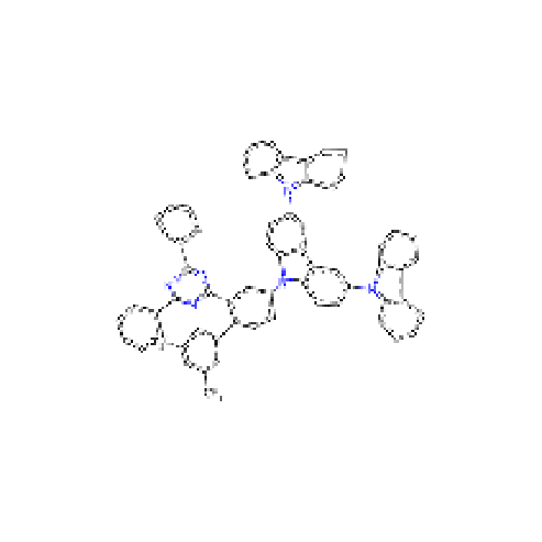 FC(F)(F)c1cc(-c2ccc(-n3c4ccc(-n5c6ccccc6c6ccccc65)cc4c4cc(-n5c6ccccc6c6ccccc65)ccc43)cc2-c2nc(-c3ccccc3)nc(-c3ccccc3)n2)cc(C(F)(F)F)c1